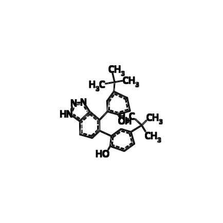 CC(C)(C)c1ccc(O)c(-c2ccc3[nH]nnc3c2-c2cc(C(C)(C)C)ccc2O)c1